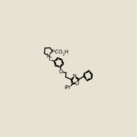 CC(C)c1oc(-c2ccccc2)nc1CCOc1cccc(CN2CCC[C@@H]2C(=O)O)c1